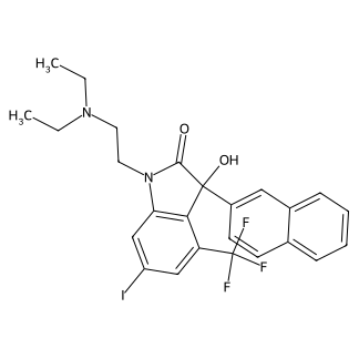 CCN(CC)CCN1C(=O)C(O)(c2ccc3ccccc3c2)c2c1cc(I)cc2C(F)(F)F